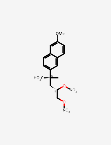 COc1ccc2cc([C@](C)(C[C@@H](CO[N+](=O)[O-])O[N+](=O)[O-])C(=O)O)ccc2c1